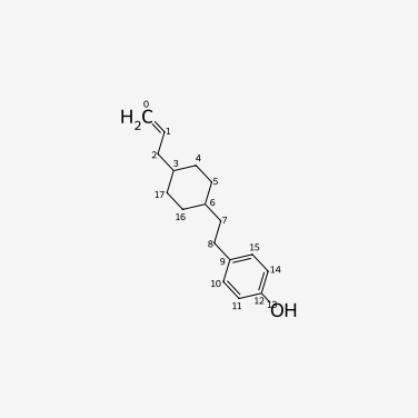 C=CCC1CCC(CCc2ccc(O)cc2)CC1